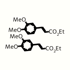 CCOC(=O)/C=C/c1ccc(OC)c(OC)c1.CCOC(=O)/C=C/c1ccc(OC)c(OC)c1